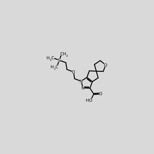 C[Si](C)(C)CCOCn1nc(C(=O)O)c2c1CC1(CCOC1)C2